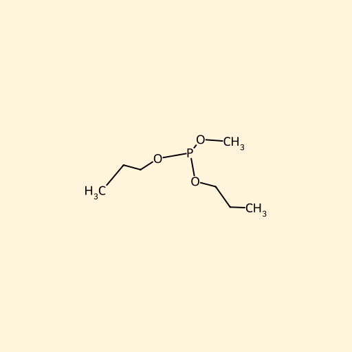 CCCOP(OC)OCCC